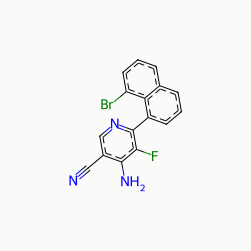 N#Cc1cnc(-c2cccc3cccc(Br)c23)c(F)c1N